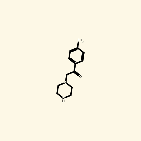 Cc1ccc(C(=O)CN2CCNCC2)cc1